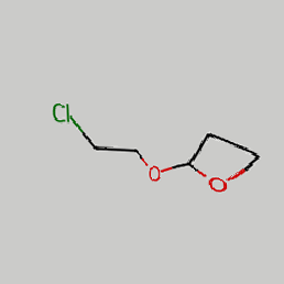 ClCCOC1CCO1